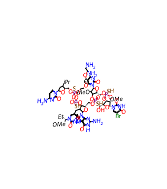 CC[C@@H](OC)n1cc(CC2C(OP(=O)(S)OOP(=S)(OCCOCCOCCN)OC[C@H]3O[C@@H](n4ccc(N)nc4=O)CC3C(C)C)[C@@H](COP(=O)(S)OC3C(OC)[C@H](n4ccc(N)nc4=O)O[C@@H]3COP(=O)(S)OC3C(OC)[C@H](n4cc(Br)c(=O)[nH]c4=O)O[C@@H]3CO)O[C@H]2n2cnc3c(=O)[nH]c(N)nc32)c(=O)[nH]c1=O